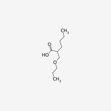 CCCCC(COCCC)C(=O)O